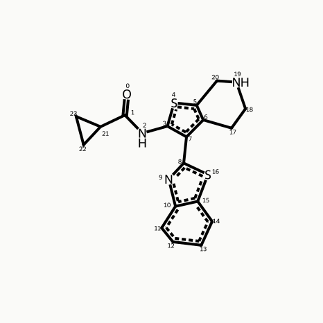 O=C(Nc1sc2c(c1-c1nc3ccccc3s1)CCNC2)C1CC1